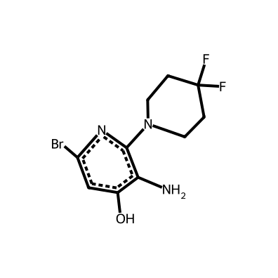 Nc1c(O)cc(Br)nc1N1CCC(F)(F)CC1